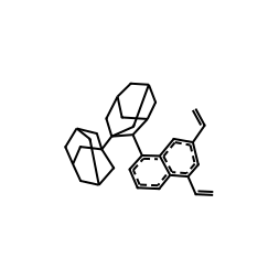 C=Cc1cc(C=C)c2cccc(C3C4CC5CC(C4)CC3(C34CC6CC(CC(C6)C3)C4)C5)c2c1